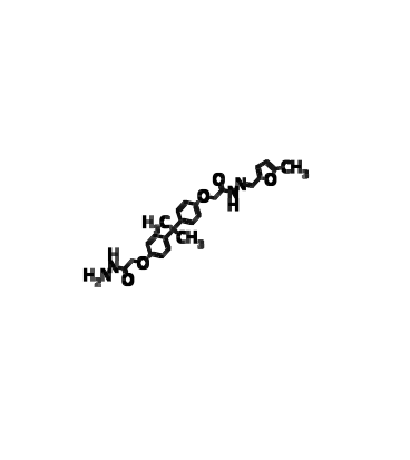 Cc1ccc(C=NNC(=O)COc2ccc(C(C)(C)c3ccc(OCC(=O)NN)cc3)cc2)o1